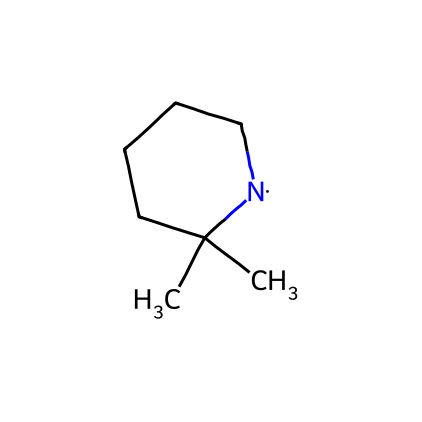 CC1(C)CCCC[N]1